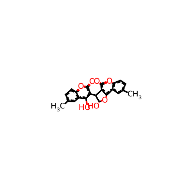 Cc1ccc2oc(=O)c(C3c4c(c5cc(C)ccc5oc4=O)OC3O)c(O)c2c1